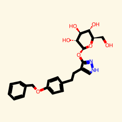 OC[C@H]1O[C@@H](Oc2n[nH]cc2CCc2ccc(OCc3ccccc3)cc2)[C@H](O)[C@@H](O)[C@@H]1O